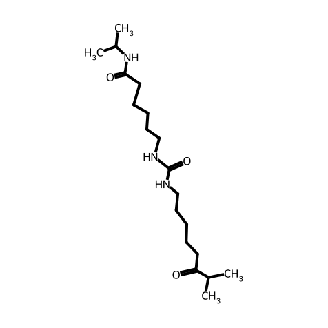 CC(C)NC(=O)CCCCCNC(=O)NCCCCCC(=O)C(C)C